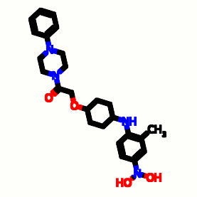 Cc1cc(N(O)O)ccc1NC1CCC(OCC(=O)N2CCN(c3ccccc3)CC2)CC1